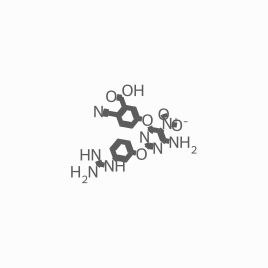 N#Cc1ccc(Oc2nc(Oc3cccc(NC(=N)N)c3)nc(N)c2[N+](=O)[O-])cc1C(=O)O